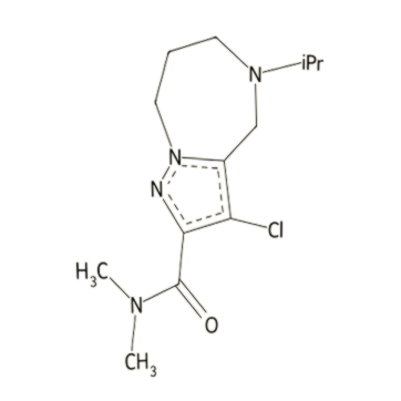 CC(C)N1CCCn2nc(C(=O)N(C)C)c(Cl)c2C1